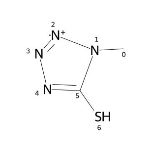 CN1[N+]=NN=C1S